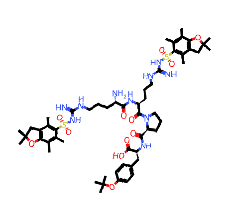 Cc1c(C)c(S(=O)(=O)NC(=N)NCCC[C@H](NC(=O)[C@@H](N)CCCNC(=N)NS(=O)(=O)c2c(C)c(C)c3c(c2C)CC(C)(C)O3)C(=O)N2CCC[C@H]2C(=O)N[C@@H](Cc2ccc(OC(C)(C)C)cc2)C(=O)O)c(C)c2c1OC(C)(C)C2